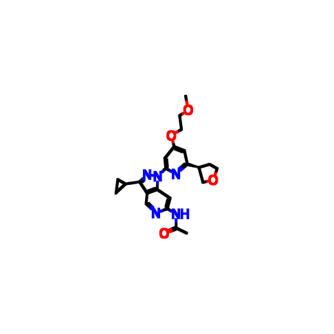 COCCOc1cc([C@H]2CCOC2)nc(-n2nc(C3CC3)c3cnc(NC(C)=O)cc32)c1